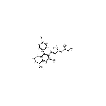 CC(=O)C[C@H](O)C[C@H](O)/C=C/c1c(C(C)C)nc2c(c1-c1ccc(F)cc1)CCCN2C